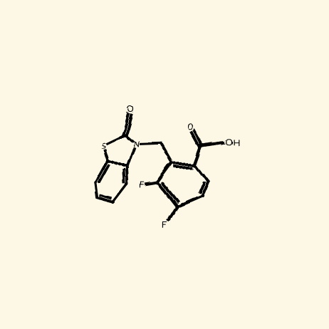 O=C(O)c1ccc(F)c(F)c1Cn1c(=O)sc2ccccc21